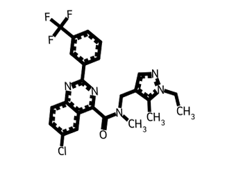 CCn1ncc(CN(C)C(=O)c2nc(-c3cccc(C(F)(F)F)c3)nc3ccc(Cl)cc23)c1C